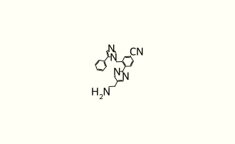 N#Cc1ccc(-c2ncc(CCN)cn2)c(Cn2cncc2-c2ccccc2)c1